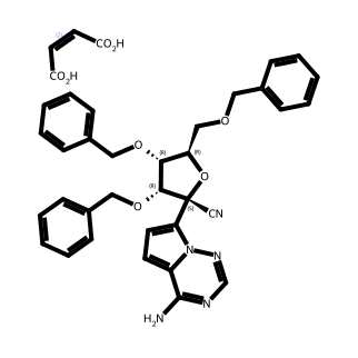 N#C[C@]1(c2ccc3c(N)ncnn23)O[C@H](COCc2ccccc2)[C@@H](OCc2ccccc2)[C@H]1OCc1ccccc1.O=C(O)/C=C\C(=O)O